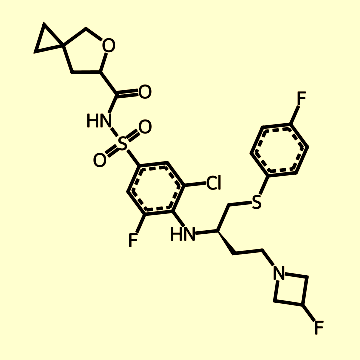 O=C(NS(=O)(=O)c1cc(F)c(N[C@H](CCN2CC(F)C2)CSc2ccc(F)cc2)c(Cl)c1)C1CC2(CC2)CO1